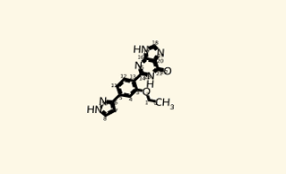 CCOc1cc(-c2cc[nH]n2)ccc1-c1nc2[nH]cnc2c(=O)[nH]1